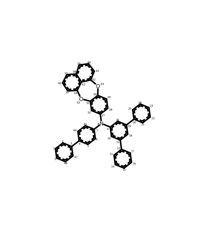 c1ccc(-c2ccc(N(c3cc(-c4ccccc4)cc(-c4ccccc4)c3)c3ccc4c(c3)Oc3cccc5cccc(c35)O4)cc2)cc1